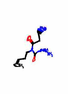 CCCCN(C(=O)CC#N)C(=O)NN